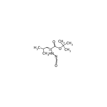 CC(C)C[C@H](NN=C=O)C(=O)OC(C)(C)C